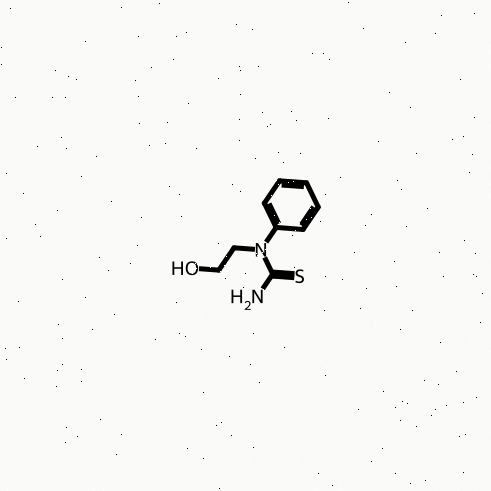 NC(=S)N(CCO)c1ccccc1